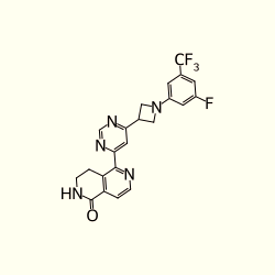 O=C1NCCc2c1ccnc2-c1cc(C2CN(c3cc(F)cc(C(F)(F)F)c3)C2)ncn1